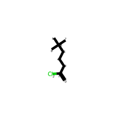 C=C(Cl)CCCC(C)(C)C